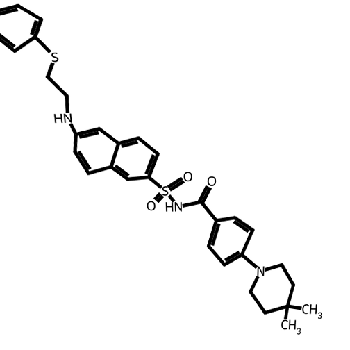 CC1(C)CCN(c2ccc(C(=O)NS(=O)(=O)c3ccc4cc(NCCSc5ccccc5)ccc4c3)cc2)CC1